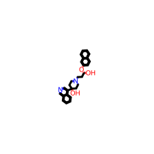 OC(CCN1CCC(O)(c2cncc3ccccc23)CC1)Oc1ccc2ccccc2c1